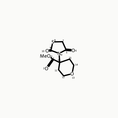 COC(=O)C1(N2C(=O)CSC2=O)CCOCC1